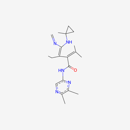 C=N/C(NC1(C)CC1)=C(\CC)C(C(=O)Nc1cnc(C)c(C)n1)=C(C)C